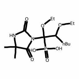 CCCCC(OCC)C(OCC)(N1C(=O)NC(C)(C)C1=O)P(=O)(O)O